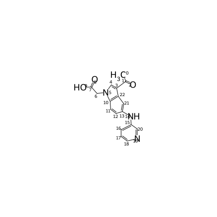 CC(=O)c1cn(CC(=O)O)c2ccc(Nc3cccnc3)cc12